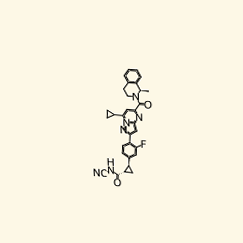 C[C@@H]1c2ccccc2CCN1C(=O)c1cc(C2CC2)n2nc(-c3ccc([C@H]4C[C@@H]4C(=O)NC#N)cc3F)cc2n1